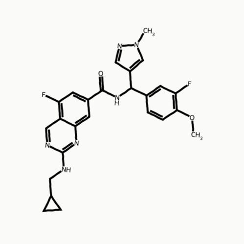 COc1ccc(C(NC(=O)c2cc(F)c3cnc(NCC4CC4)nc3c2)c2cnn(C)c2)cc1F